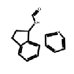 O=CNC1CCc2ccccc21.c1ccncc1